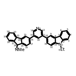 CCn1c2ccccc2c2cc(-c3cncc(-c4ccc5c(c4)-c4ccccc4C5NC)c3)ccc21